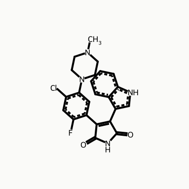 CN1CCN(c2cc(C3=C(c4c[nH]c5ccccc45)C(=O)NC3=O)c(F)cc2Cl)CC1